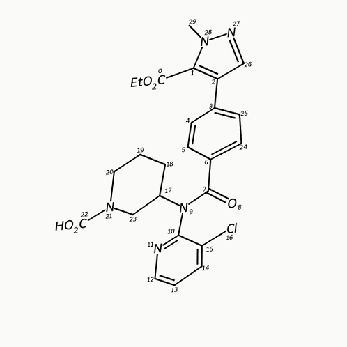 CCOC(=O)c1c(-c2ccc(C(=O)N(c3ncccc3Cl)C3CCCN(C(=O)O)C3)cc2)cnn1C